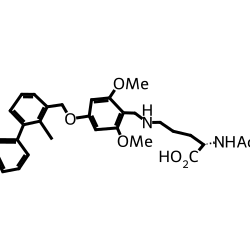 COc1cc(OCc2cccc(-c3ccccc3)c2C)cc(OC)c1CNCCC[C@H](NC(C)=O)C(=O)O